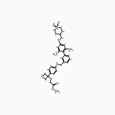 COC(=O)COC1(c2ccc(OCc3cccc(-c4c(C)cc(OCC5CCS(=O)(=O)CC5)cc4C)c3)cc2)COC1